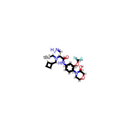 CC(C)(C)CN(CC1CCC1)[C@H](CN)C(=O)Nc1ccc(N2CCOCC2=O)c(OC(F)F)c1